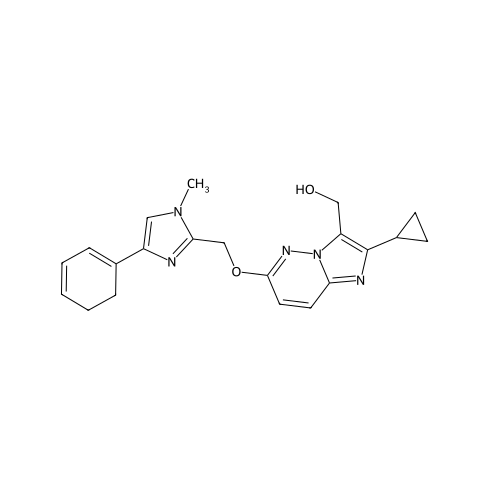 Cn1cc(C2=CC=CCC2)nc1COc1ccc2nc(C3CC3)c(CO)n2n1